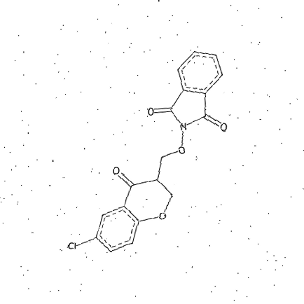 O=C1c2cc(Cl)ccc2OCC1CON1C(=O)c2ccccc2C1=O